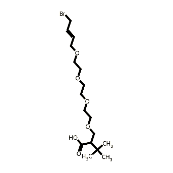 CC(C)(C)C(COCCOCCOCCOCC=CCBr)C(=O)O